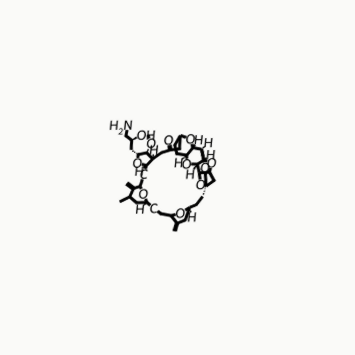 C=C1C[C@@H]2CC[C@@]34CC5O[C@H]6[C@@H](O3)[C@H]3OC(CC[C@@H]3O[C@H]6C5O4)CC(=O)C[C@@H]3[C@@H](OC)[C@@H](C[C@H](O)CN)O[C@H]3CC3O[C@@H](CCC1O2)CC(C)C3=C